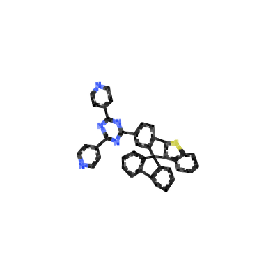 c1ccc2c(c1)-c1ccccc1C21c2cc(-c3nc(-c4ccncc4)nc(-c4ccncc4)n3)ccc2-c2sc3ccccc3c21